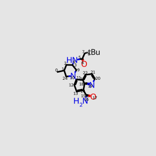 CC1CC(NC(=O)CC(C)(C)C)CN(c2ccc(C(N)=O)c3ncccc23)C1